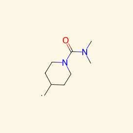 [CH2]C1CCN(C(=O)N(C)C)CC1